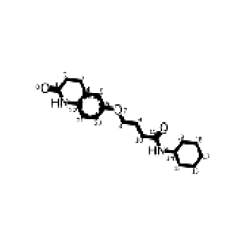 O=C1CCc2cc(OCCCC(=O)NC3CCCCC3)ccc2N1